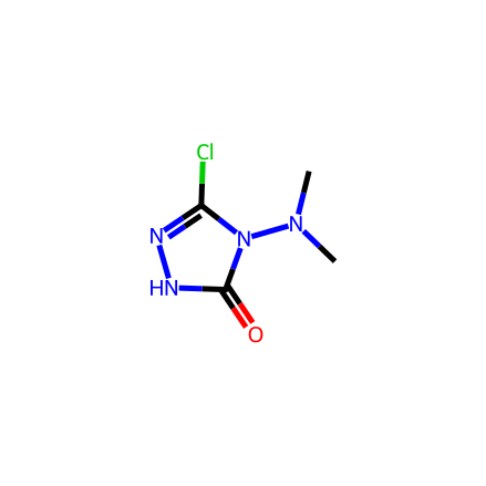 CN(C)n1c(Cl)n[nH]c1=O